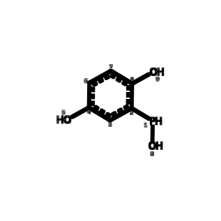 OPc1cc(O)ccc1O